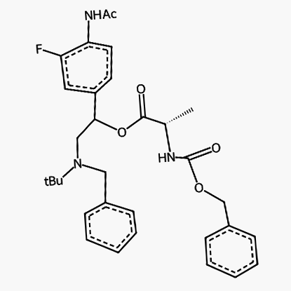 CC(=O)Nc1ccc(C(CN(Cc2ccccc2)C(C)(C)C)OC(=O)[C@H](C)NC(=O)OCc2ccccc2)cc1F